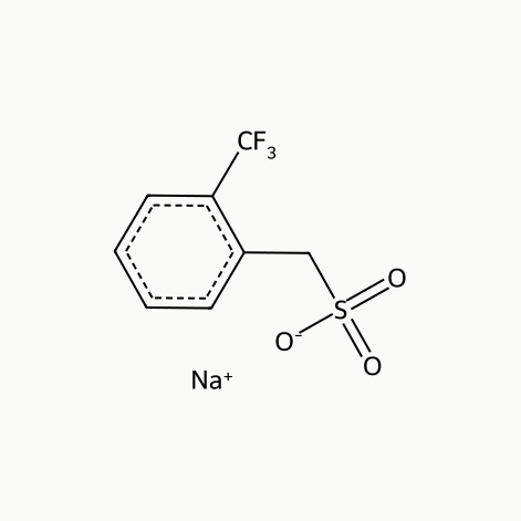 O=S(=O)([O-])Cc1ccccc1C(F)(F)F.[Na+]